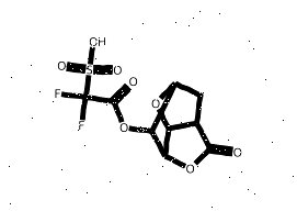 O=C1OC2C(OC(=O)C(F)(F)S(=O)(=O)O)C3CC1C2O3